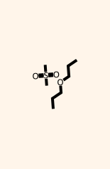 CCCOCCC.CS(C)(=O)=O